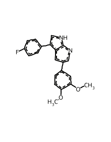 COc1ccc(-c2cnc3[nH]cc(-c4ccc(F)cc4)c3c2)cc1OC